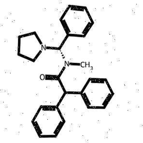 CN(C(=O)C(c1ccccc1)c1ccccc1)[C@@H](c1ccccc1)N1CCCC1